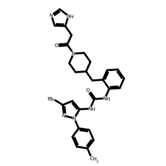 Cc1ccc(-n2nc(C(C)(C)C)cc2NC(=O)Nc2ccccc2CC2CCN(C(=O)Cc3cnc[nH]3)CC2)cc1